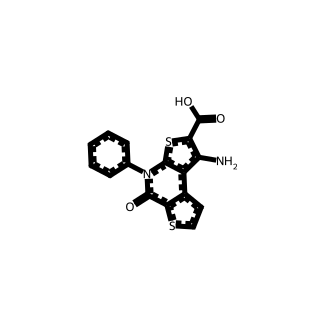 Nc1c(C(=O)O)sc2c1c1ccsc1c(=O)n2-c1ccccc1